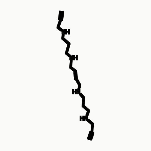 C#CCNCCCNC/C=C/CNCCCNCC#C